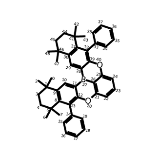 CC1(C)CCC(C)(C)c2c1cc1c(c2-c2ccccc2)Oc2cccc3c2B1c1cc2c(c(-c4ccccc4)c1O3)C(C)(C)CCC2(C)C